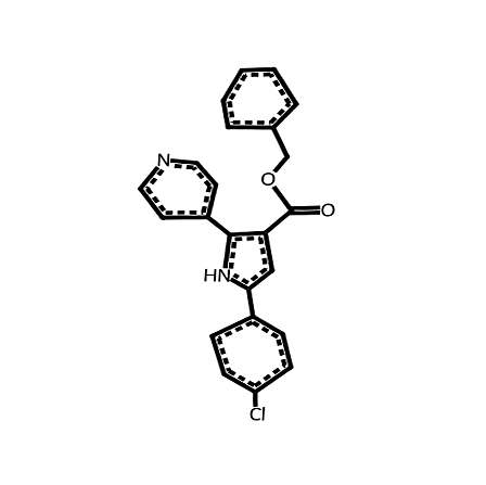 O=C(OCc1ccccc1)c1cc(-c2ccc(Cl)cc2)[nH]c1-c1ccncc1